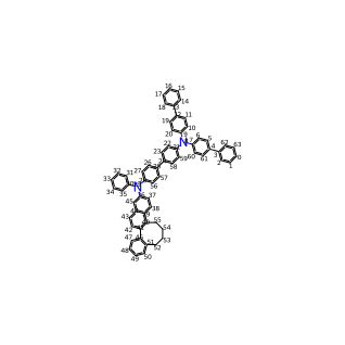 c1ccc(-c2ccc(N(c3ccc(-c4ccccc4)cc3)c3ccc(-c4ccc(N(c5ccccc5)c5ccc6c7c(ccc6c5)-c5ccccc5CCCC7)cc4)cc3)cc2)cc1